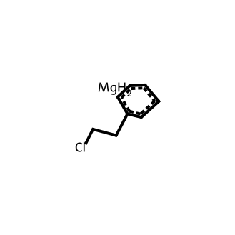 ClCCc1ccccc1.[MgH2]